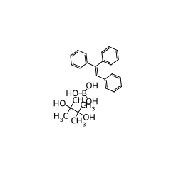 C(=C(c1ccccc1)c1ccccc1)c1ccccc1.CC(C)(O)C(C)(C)O.OB(O)O